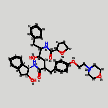 O=C(N[C@H]1c2ccccc2C[C@@H]1O)C(Cc1ccc(OCCN2CCOCC2)cc1)CC(O)C(Cc1ccccc1)NC(=O)[C@H]1CCCO1